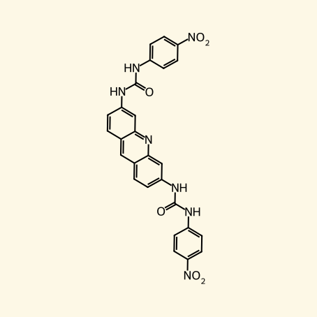 O=C(Nc1ccc([N+](=O)[O-])cc1)Nc1ccc2cc3ccc(NC(=O)Nc4ccc([N+](=O)[O-])cc4)cc3nc2c1